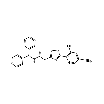 N#Cc1cnc(-c2nc(CC(=O)NC(c3ccccc3)c3ccccc3)cs2)c(O)c1